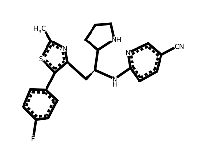 Cc1nc(C[C@H](Nc2ccc(C#N)cn2)C2CCCN2)c(-c2ccc(F)cc2)s1